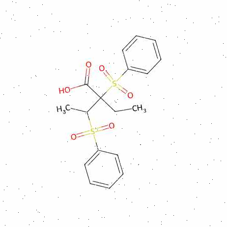 CCC(C(=O)O)(C(C)S(=O)(=O)c1ccccc1)S(=O)(=O)c1ccccc1